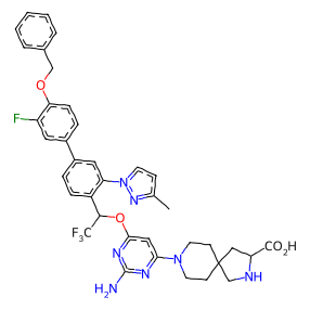 Cc1ccn(-c2cc(-c3ccc(OCc4ccccc4)c(F)c3)ccc2C(Oc2cc(N3CCC4(CC3)CNC(C(=O)O)C4)nc(N)n2)C(F)(F)F)n1